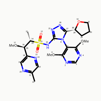 COc1ncnc(OC)c1-n1c(NS(=O)(=O)[C@@H](C)[C@H](OC)c2cnc(C)cn2)nnc1[C@H]1CCCO1